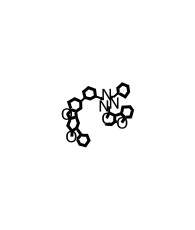 c1ccc(-c2nc(-c3cccc(-c4ccc5oc6cc7oc8ccccc8c7cc6c5c4)c3)nc(-c3cccc4oc5ccccc5c34)n2)cc1